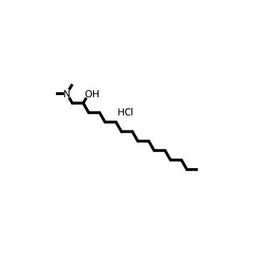 CCCCCCCCCCCCCCC(O)CN(C)C.Cl